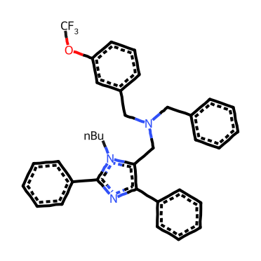 CCCCn1c(-c2ccccc2)nc(-c2ccccc2)c1CN(Cc1ccccc1)Cc1cccc(OC(F)(F)F)c1